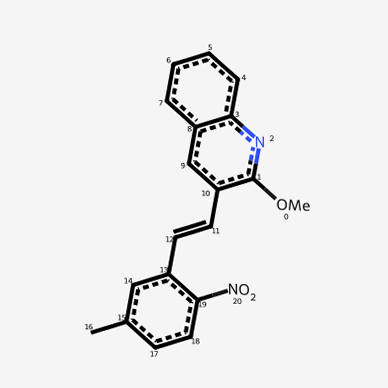 COc1nc2ccccc2cc1C=Cc1cc(C)ccc1[N+](=O)[O-]